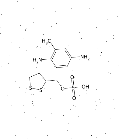 Cc1cc(N)ccc1N.O=S(=O)(O)OCC1CCSS1